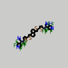 N#C/C(=C(\c1ccc(-c2cc3c(ccc4c5cc(-c6ccc(/C(=C(\C=N)c7c(F)c(F)nc(F)c7F)C(F)(F)F)s6)sc5ccc34)s2)s1)C(F)(F)F)c1c(F)c(F)nc(F)c1F